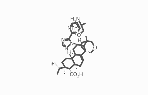 CC(C)[C@@H](C)[C@@]1(C)CC[C@]2(C)[C@H]3CC[C@@H]4[C@@]5(COC[C@@]4(C)[C@@H](OC[C@](C)(N)C(C)C)[C@H](n4ncnc4-c4ncccn4)C5)C3=CC[C@@]2(C)[C@@H]1C(=O)O